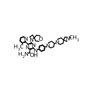 Cc1cccnc1-c1nc(C(N)=O)c(Nc2ccc(N3CCC(N4CCC5(CC4)CN(C)C5)CC3)cc2)nc1N1CCC12CCOCC2